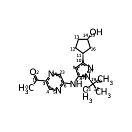 CC(=O)c1cnc(Nc2cc([C@H]3CC[C@@H](O)C3)nn2C(C)(C)C)cn1